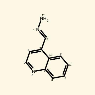 NN=Cc1ccnc2ccccc12